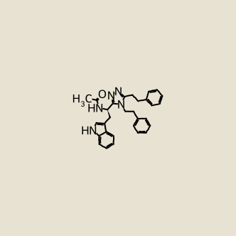 CC(=O)N[C@H](Cc1c[nH]c2ccccc12)c1nnc(CCc2ccccc2)n1CCc1ccccc1